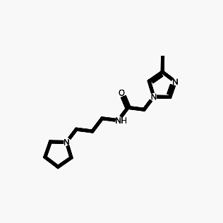 Cc1cn(CC(=O)NCCCN2CCCC2)cn1